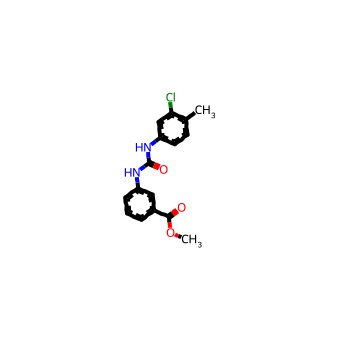 COC(=O)c1cccc(NC(=O)Nc2ccc(C)c(Cl)c2)c1